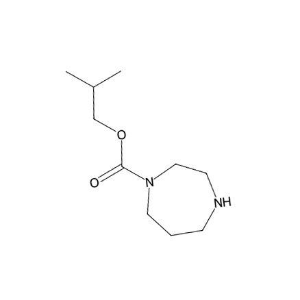 CC(C)COC(=O)N1CCCNCC1